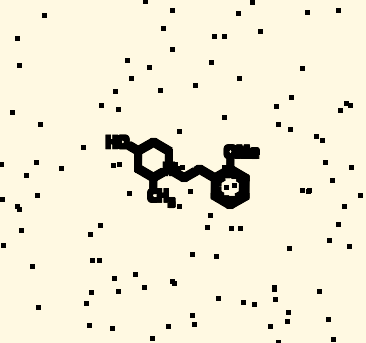 COc1ccccc1CCN1CCC(O)CC1C